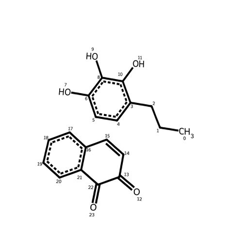 CCCc1ccc(O)c(O)c1O.O=C1C=Cc2ccccc2C1=O